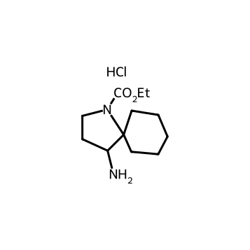 CCOC(=O)N1CCC(N)C12CCCCC2.Cl